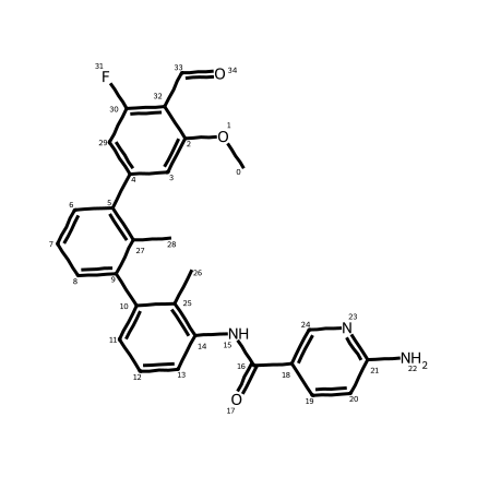 COc1cc(-c2cccc(-c3cccc(NC(=O)c4ccc(N)nc4)c3C)c2C)cc(F)c1C=O